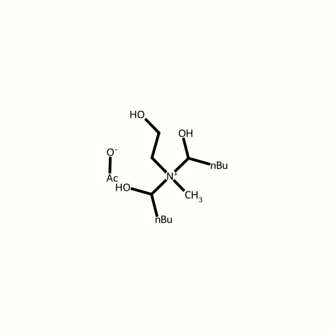 CC(=O)[O-].CCCCC(O)[N+](C)(CCO)C(O)CCCC